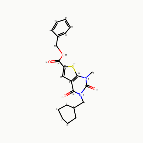 Cn1c(=O)n(CC2CCCCC2)c(=O)c2cc(C(=O)OCc3ccccc3)sc21